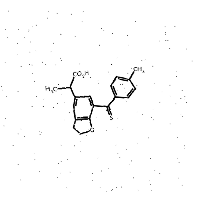 Cc1ccc(C(=S)c2cc(C(C)C(=O)O)cc3c2OCC3)cc1